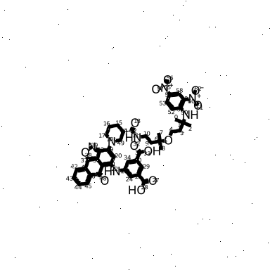 CC(C)(CCOC(C)(C)CCNC(=O)[C@H]1CCCN(c2cc(Nc3cc(C(=O)O)cc(C(=O)O)c3)c3c4c(onc24)-c2ccccc2C3=O)C1)Nc1ccc([N+](=O)[O-])cc1[N+](=O)[O-]